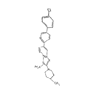 CC1CCN(c2nc3cc(-c4ccc(-c5ccc(Cl)cc5)cn4)ccc3n2C)CC1